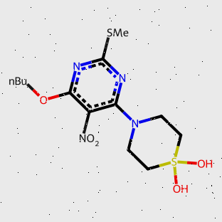 CCCCOc1nc(SC)nc(N2CCS(O)(O)CC2)c1[N+](=O)[O-]